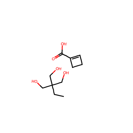 CCC(CO)(CO)CO.O=C(O)C1=CCC1